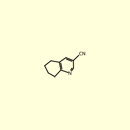 N#Cc1cnc2c(c1)CCC[C]2